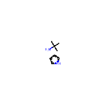 CC(C)(C)N.c1cc[nH]c1